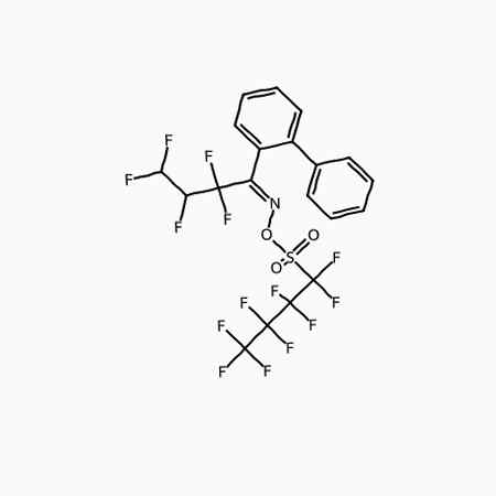 O=S(=O)(ON=C(c1ccccc1-c1ccccc1)C(F)(F)C(F)C(F)F)C(F)(F)C(F)(F)C(F)(F)C(F)(F)F